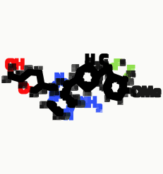 COc1cccc(C(C)(F)c2ccc(-c3nc(C4CCC(CO)OC4)n4ccnc(N)c34)cc2)c1F